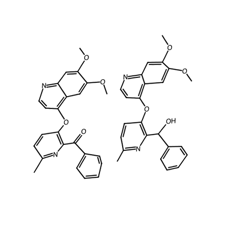 COc1cc2nccc(Oc3ccc(C)nc3C(=O)c3ccccc3)c2cc1OC.COc1cc2nccc(Oc3ccc(C)nc3C(O)c3ccccc3)c2cc1OC